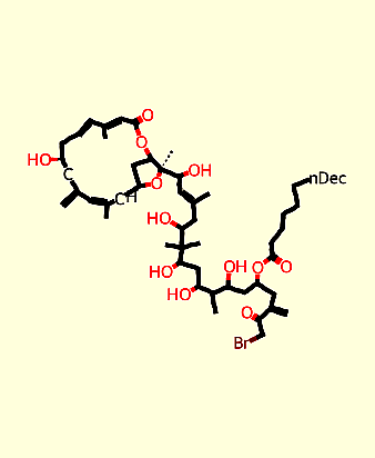 C=C1/C=C(/C)C[C@H]2CC(OC(=O)/C=C(C)/C=C/C[C@H](O)C1)[C@@](C)(C(O)/C=C(\C)CC(O)C(C)(C)C(O)CC(O)C(C)C(O)CC(CC(=C)C(=O)CBr)OC(=O)CCCCCCCCCCCCCCC)O2